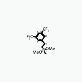 CO[Si](C)(CCc1cc(C(F)(F)F)cc(C(F)(F)F)c1)OC